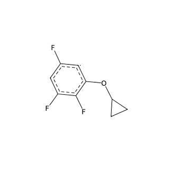 Fc1[c]c(OC2CC2)c(F)c(F)c1